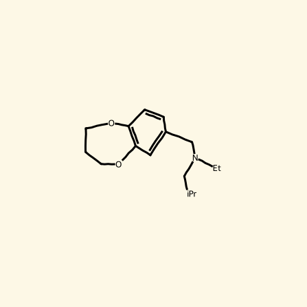 CCN(Cc1ccc2c(c1)OCCCO2)CC(C)C